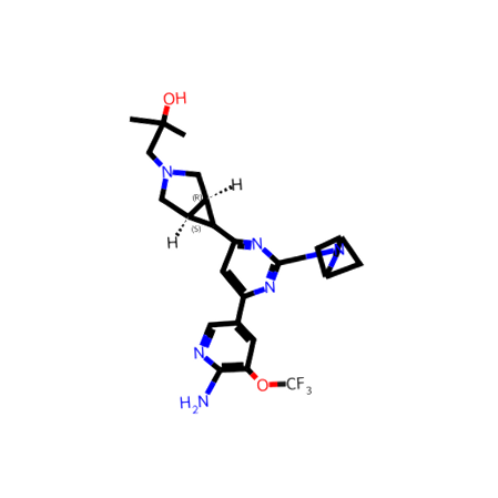 CC(C)(O)CN1C[C@@H]2C(c3cc(-c4cnc(N)c(OC(F)(F)F)c4)nc(N4CC5CC4C5)n3)[C@@H]2C1